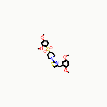 COc1ccc(OC)c(Cc2csc(N3CCC(S(=O)(=O)c4ccc(OC)cc4OC)CC3)n2)c1